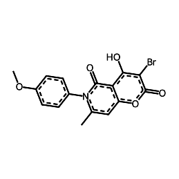 COc1ccc(-n2c(C)cc3oc(=O)c(Br)c(O)c3c2=O)cc1